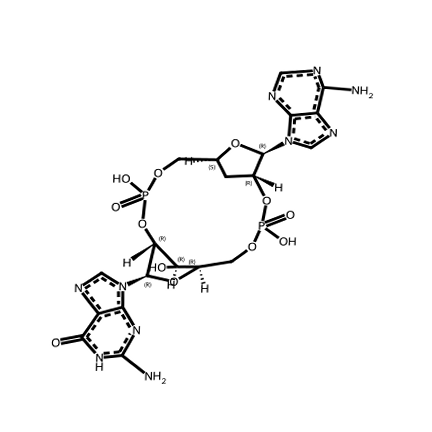 Nc1nc2c(ncn2[C@@H]2O[C@@H]3COP(=O)(O)O[C@@H]4C[C@@H](COP(=O)(O)O[C@@H]2[C@@H]3O)O[C@H]4n2cnc3c(N)ncnc32)c(=O)[nH]1